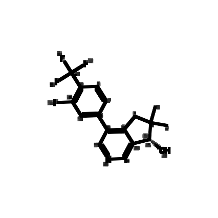 CC1(C)Cc2c(-c3ccc(C(F)(F)F)c(F)c3)cncc2[C@H]1O